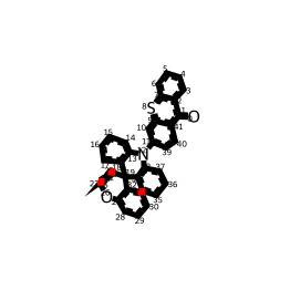 O=c1c2ccccc2sc2cc(N3c4ccccc4C4(c5ccccc5Oc5ccccc54)c4ccccc43)ccc12